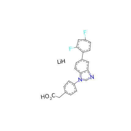 O=C(O)Cc1ccc(-n2cnc3cc(-c4ccc(F)cc4F)ccc32)cc1.[LiH]